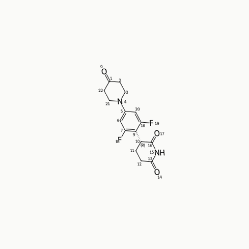 O=C1CCN(c2cc(F)c([C@H]3CCC(=O)NC3=O)c(F)c2)CC1